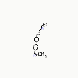 C/C=C\[C@H]1CC[C@H](c2ccc(COC/C=C/CC)cc2)CC1